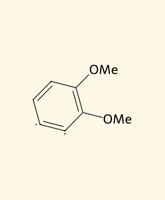 COc1[c][c]ccc1OC